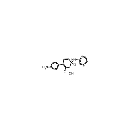 Cl.Nc1ccc(C2=C(Cl)CC(Cl)(Nc3cnccn3)C=C2)cc1